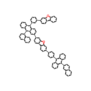 c1cc(-c2ccc3c(c2)oc2ccccc23)cc(-c2c3ccccc3c(-c3cccc4ccccc34)c3cc(-c4ccc5c(c4)oc4cc(-c6ccc(-c7c8ccccc8c(-c8ccc9ccccc9c8)c8ccccc78)cc6)ccc45)ccc23)c1